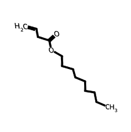 C=CCC(=O)OCCCCCCCCC